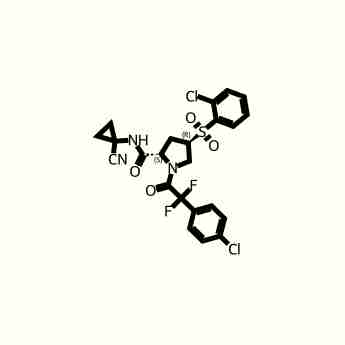 N#CC1(NC(=O)[C@@H]2C[C@@H](S(=O)(=O)c3ccccc3Cl)CN2C(=O)C(F)(F)c2ccc(Cl)cc2)CC1